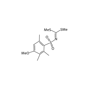 COc1cc(C)c(S(=O)(=O)N=C(SC)SC)c(C)c1C